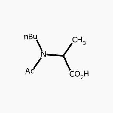 CCCCN(C(C)=O)C(C)C(=O)O